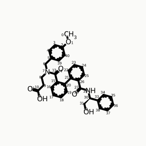 COc1ccc(CN(CCC(=O)O)C(=O)c2ccccc2-c2ccccc2C(=O)N[C@H](CO)c2ccccc2)cc1